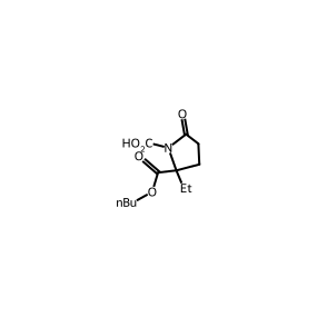 CCCCOC(=O)C1(CC)CCC(=O)N1C(=O)O